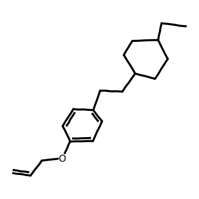 C=CCOc1ccc(CCC2CCC(CC)CC2)cc1